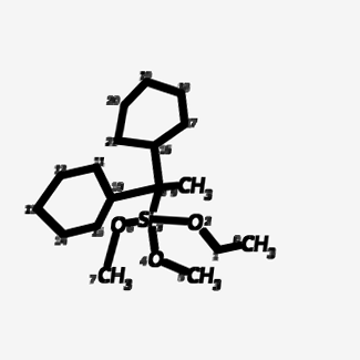 CCO[Si](OC)(OC)C(C)(C1CCCCC1)C1CCCCC1